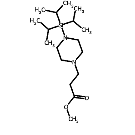 COC(=O)CCN1CCN([Si](C(C)C)(C(C)C)C(C)C)CC1